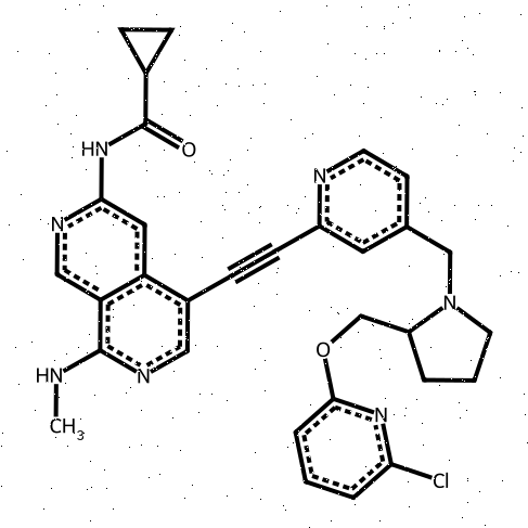 CNc1ncc(C#Cc2cc(CN3CCCC3COc3cccc(Cl)n3)ccn2)c2cc(NC(=O)C3CC3)ncc12